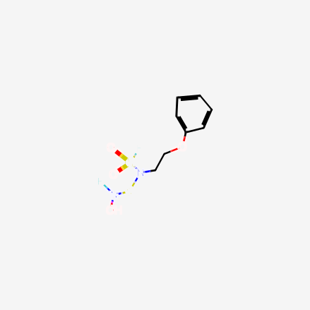 O=S(=O)(F)N(CCOc1ccccc1)SN(O)F